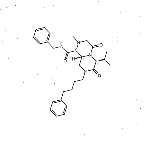 CC(C)[C@H]1C(=O)N(CCCCc2ccccc2)C[C@H]2N1C(=O)CN(C)N2C(=O)NCc1ccccc1